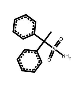 CC(c1ccccc1)(c1ccccc1)S(N)(=O)=O